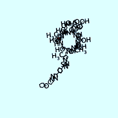 CC1=C(CN[C@H]2C[C@@H](O)CNC(=O)[C@@H]3[C@@H](O)[C@@H](C)CN3C(=O)[C@H]([C@H](O)CC(N)=O)NC(=O)[C@H]([C@H](O)Cc3ccc(O)c(OS(=O)(=O)O)c3)NC(=O)[C@@H]3C[C@@H](O)CN3C(=O)[C@H]([C@@H](C)O)NC2=O)CCN(c2nnc(-c3ccc(-c4cnc(N5CCC(OC6CCCCC6)CC5)nc4)cc3)s2)C1